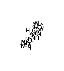 Cc1c(C(=O)Nc2cnc(-n3cncn3)c(C#N)c2)cnn1-c1cccc2ncccc12